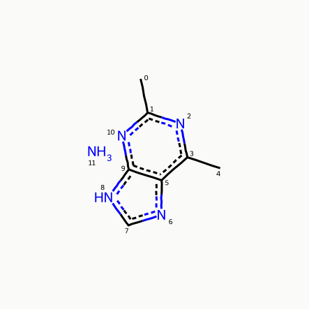 Cc1nc(C)c2nc[nH]c2n1.N